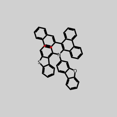 c1ccc2cc(-c3c(N(c4ccc5c(c4)oc4ccccc45)c4cccc5sc6ccccc6c45)c4ccccc4c4ccccc34)ccc2c1